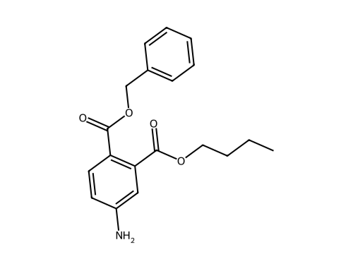 CCCCOC(=O)c1cc(N)ccc1C(=O)OCc1ccccc1